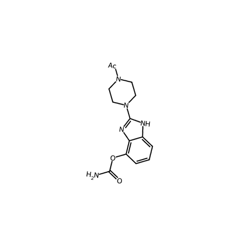 CC(=O)N1CCN(c2nc3c(OC(N)=O)cccc3[nH]2)CC1